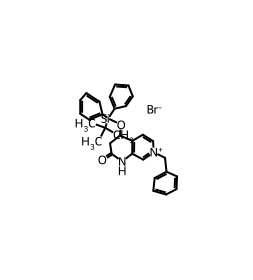 CC(C)(C)[Si](OC1CC(=O)Nc2c[n+](Cc3ccccc3)ccc21)(c1ccccc1)c1ccccc1.[Br-]